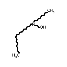 CCCCCCCC/C=C\CCCCCCCCN(CCCO)CCCCCCCCC